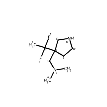 CN(C)CC1(C(C)(F)F)CCNC1